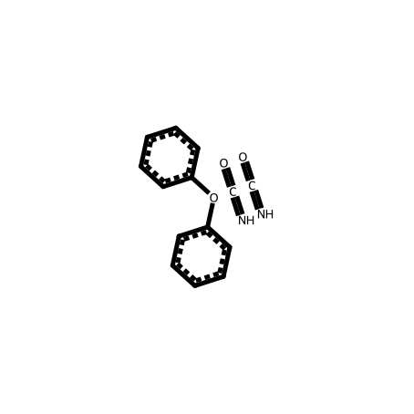 N=C=O.N=C=O.c1ccc(Oc2ccccc2)cc1